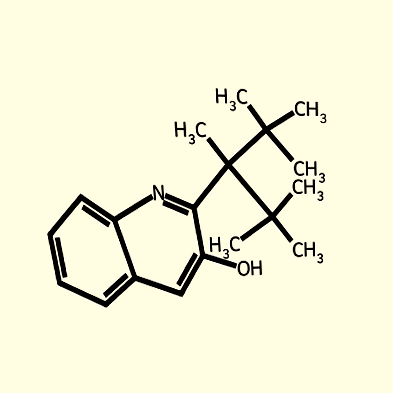 CC(C)(C)C(C)(c1nc2ccccc2cc1O)C(C)(C)C